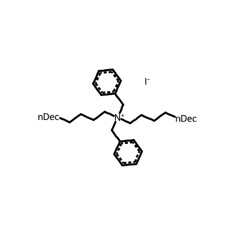 CCCCCCCCCCCCCC[N+](CCCCCCCCCCCCCC)(Cc1ccccc1)Cc1ccccc1.[I-]